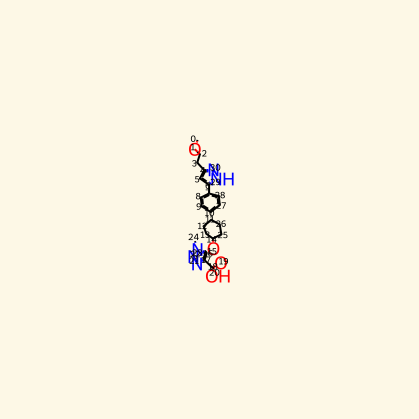 COCCc1cc(-c2ccc([C@H]3CC[C@H](Oc4c(C(=O)O)nnn4C)CC3)cc2)[nH]n1